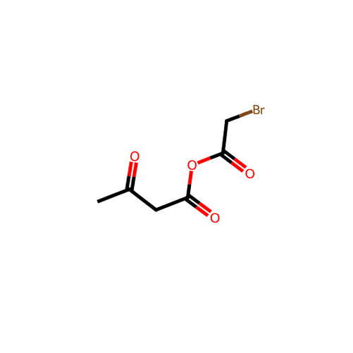 CC(=O)CC(=O)OC(=O)CBr